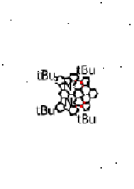 CC(C)(C)c1ccc2c(c1)c1cc(C(C)(C)C)cc3c4cc5c6cc(C(C)(C)C)cc7c8cc(C(C)(C)C)ccc8n(c5c(-c5c8ccccc8c(-c8c(-c9ccccc9)cccc8-c8ccccc8)c8ccccc58)c4n2c13)c76